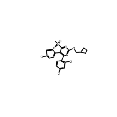 CS(=O)(=O)c1nc(OCC2CCC2)nc(-c2ccc(Cl)cc2Cl)c1-c1ccc(Cl)cc1